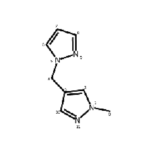 Cn1cc(Cn2cccn2)cn1